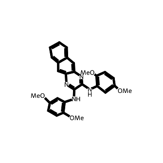 COc1ccc(OC)c(Nc2nc3cc4ccccc4cc3nc2Nc2cc(OC)ccc2OC)c1